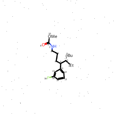 CCCC[C@H](CC)C(CCCNC(=O)OC)c1cccc(F)c1